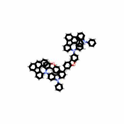 c1ccc(-n2c3ccccc3c3cc(N(c4ccc5oc6cc(-c7ccc8c(c7)c7cc(N(c9cccc%10c9-c9c%11ccccc%11cc%11cccc-%10c9%11)c9cccc%10oc%11ccccc%11c9%10)ccc7n8-c7ccccc7)ccc6c5c4)c4cccc5c4-c4c6ccccc6cc6cccc-5c46)ccc32)cc1